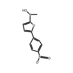 CN(O)c1ccc(-c2ccc([N+](=O)[O-])cc2)o1